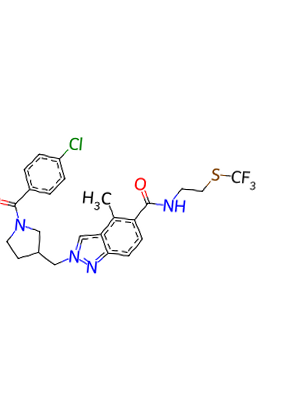 Cc1c(C(=O)NCCSC(F)(F)F)ccc2nn(CC3CCN(C(=O)c4ccc(Cl)cc4)C3)cc12